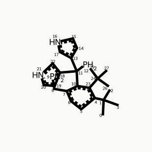 CC(C)(C)c1ccc(CP)c(C(P)(c2cc[nH]c2)c2cc[nH]c2)c1C(C)(C)C